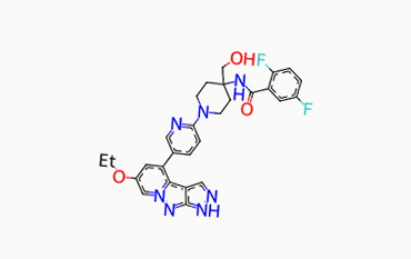 CCOc1cc(-c2ccc(N3CCC(CO)(NC(=O)c4cc(F)ccc4F)CC3)nc2)c2c3cn[nH]c3nn2c1